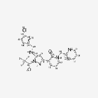 CC(C)(C)C(=O)n1nc(-c2cccn(Cc3ncccn3)c2=O)cc1NCc1ccc(Cl)s1